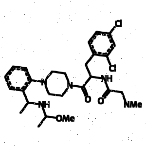 CNCC(=O)NC(Cc1ccc(Cl)cc1Cl)C(=O)N1CCN(c2ccccc2C(C)NC(C)OC)CC1